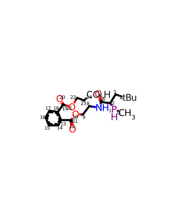 CPC(CC(C)(C)C)C(=O)NCCOC(=O)c1ccccc1C(=O)OCCC(=O)O